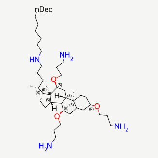 CCCCCCCCCCCCCCCCNCCC[C@@H](C)[C@H]1CC[C@H]2C3[C@H](OCCCN)CC4C[C@H](OCCCN)CC[C@]4(C)[C@H]3C[C@H](OCCCN)[C@]12C